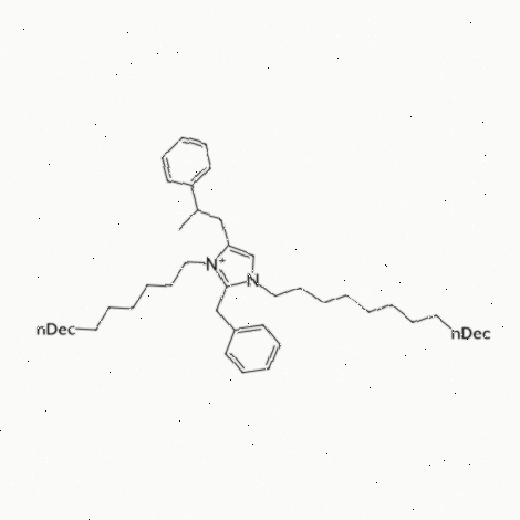 CCCCCCCCCCCCCCCCCCn1cc(CC(C)c2ccccc2)[n+](CCCCCCCCCCCCCCCC)c1Cc1ccccc1